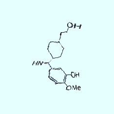 COc1ccc(C(=N)[C@H]2CC[C@H](CCO)CC2)cc1O